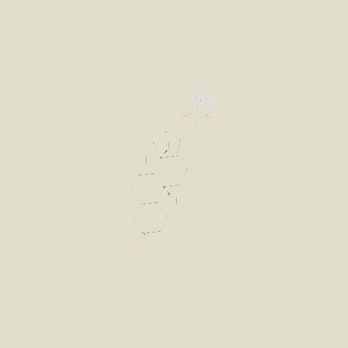 C[C@]12CC[C@H]3[C@@H](CCC4=CC(=O)CC[C@@]43C)[C@@H]1CC[C@@H]2OS(N)(=O)=O